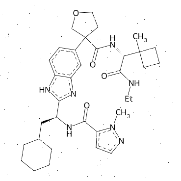 CCNC(=O)[C@H](NC(=O)C1(c2ccc3[nH]c([C@H](CC4CCCCC4)NC(=O)c4ccnn4C)nc3c2)CCOC1)C1(C)CCC1